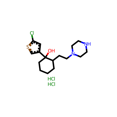 Cl.Cl.OC1(c2csc(Cl)c2)CCCCC1CCN1CCNCC1